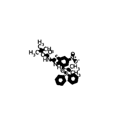 CC(C)(C)OC(=O)Nc1nc2c(O[Si](c3ccccc3)(c3ccccc3)C(C)(C)C)cc([N+](=O)[O-])cc2s1